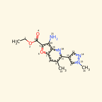 CCOC(=O)c1oc2cc(C)c(-c3cnn(C)c3)nc2c1N